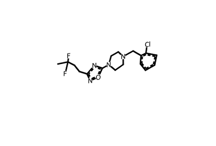 CC(F)(F)CCc1noc(N2CCN(Cc3ccccc3Cl)CC2)n1